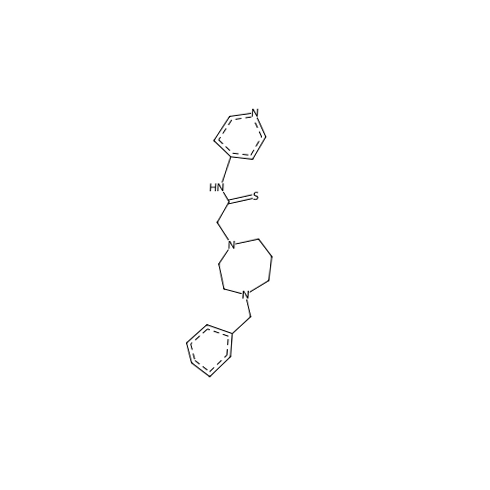 S=C(CN1CCCN(Cc2ccccc2)CC1)Nc1ccncc1